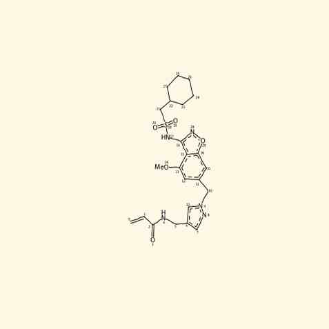 C=CC(=O)NCc1cnn(Cc2cc(OC)c3c(NS(=O)(=O)CC4CCCCC4)noc3c2)c1